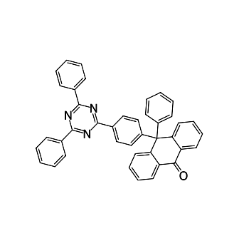 O=C1c2ccccc2C(c2ccccc2)(c2ccc(-c3nc(-c4ccccc4)nc(-c4ccccc4)n3)cc2)c2ccccc21